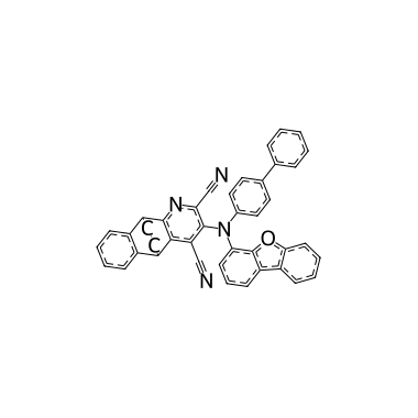 N#Cc1nc2c(c(C#N)c1N(c1ccc(-c3ccccc3)cc1)c1cccc3c1oc1ccccc13)C1CCC2c2ccccc21